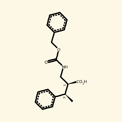 C[C@@H](c1ccccc1)[C@@H](CNC(=O)OCc1ccccc1)C(=O)O